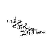 C#CCN(CC#C)C(=O)[C@@H](CCC(=O)NCC(O)C(O)C(O)C(O)CO)NC(=O)CCCCCCCCCCCC